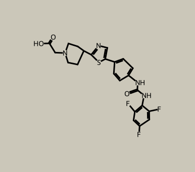 O=C(O)CN1CCC(c2ncc(-c3ccc(NC(=O)Nc4c(F)cc(F)cc4F)cc3)s2)CC1